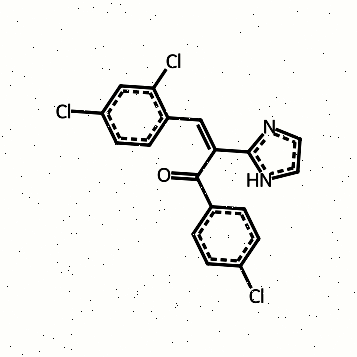 O=C(C(=Cc1ccc(Cl)cc1Cl)c1ncc[nH]1)c1ccc(Cl)cc1